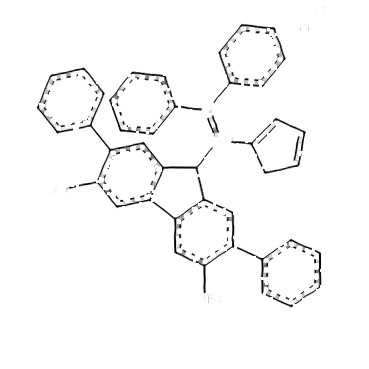 CC(C)(C)c1cc2c(cc1-c1ccccc1)[CH]([Zr+2]([C]1=CC=CC1)=[Si](c1ccccc1)c1ccccc1)c1cc(-c3ccccc3)c(C(C)(C)C)cc1-2.[Cl-].[Cl-]